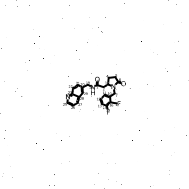 O=C(CC1CCC(=O)N1Cc1cccc(F)c1F)NCc1ccc2ncccc2c1